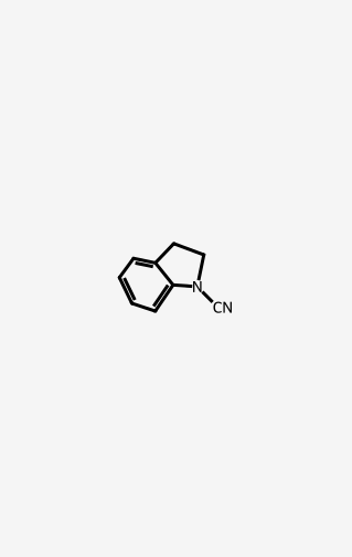 N#CN1CCc2ccccc21